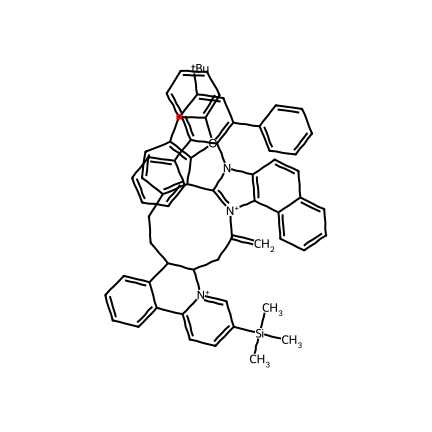 C=C1CC2C(CCc3ccc4c(oc5ccccc54)c3-c3n(-c4c(-c5ccccc5)cc(C(C)(C)C)cc4-c4ccccc4)c4ccc5ccccc5c4[n+]31)c1ccccc1-c1ccc([Si](C)(C)C)c[n+]12